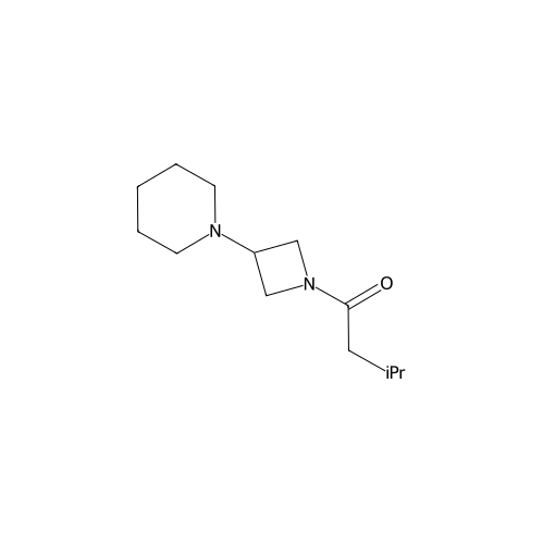 CC(C)CC(=O)N1CC(N2CCCCC2)C1